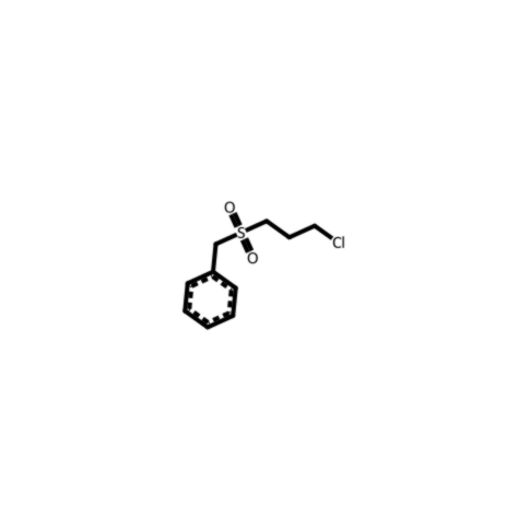 O=S(=O)(CCCCl)Cc1ccccc1